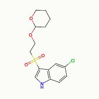 O=S(=O)(CCOC1CCCCO1)c1c[nH]c2ccc(Cl)cc12